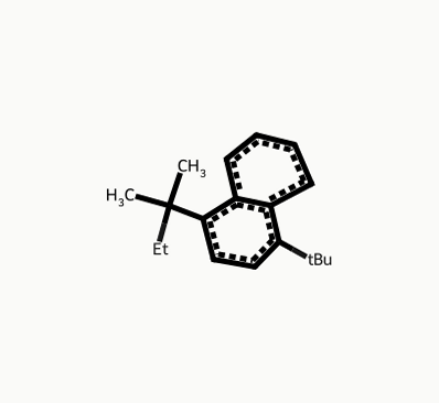 CCC(C)(C)c1ccc(C(C)(C)C)c2ccccc12